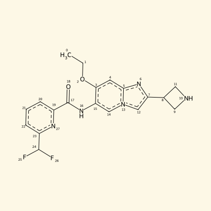 CCOc1cc2nc(C3CNC3)cn2cc1NC(=O)c1cccc(C(F)F)n1